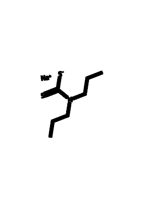 CCCN(CCC)C(=S)[S-].[Na+]